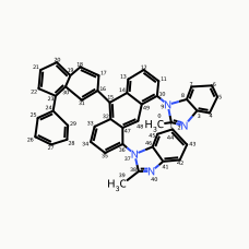 Cc1nc2ccccc2n1-c1cccc2c(-c3ccc4cccc(-c5ccccc5)c4c3)c3cccc(-n4c(C)nc5ccccc54)c3cc12